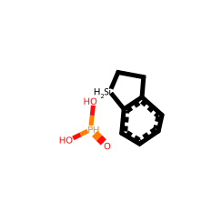 O=[PH](O)O.c1ccc2c(c1)CC[SiH2]2